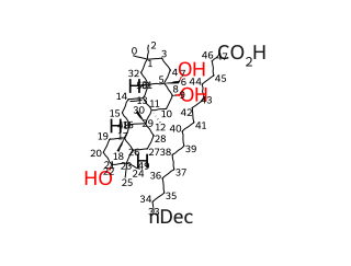 CC1(C)CC[C@]2(CO)[C@@H](O)C[C@]3(C)C(=CC[C@@H]4[C@@]5(C)CC[C@H](O)C(C)(C)[C@@H]5CC[C@]43C)[C@@H]2C1.CCCCCCCCCCCCCCCCCCCCCCCC(=O)O